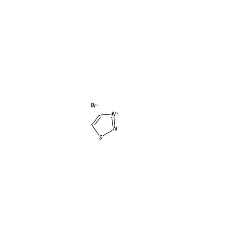 C1=CSN=[N+]1.[Br-]